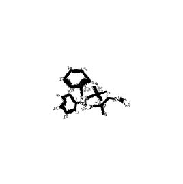 [C-]#[N+]CC(C)O[Si](c1ccccc1)(c1ccccc1)C(C)(C)C